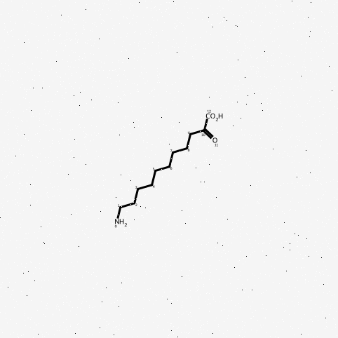 NCCCCCCCCCC(=O)C(=O)O